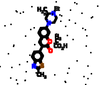 CC(=O)O.CCN1CCN(c2ccc3cc(-c4ccc5nc(C)sc5c4)c(=O)oc3c2)C[C@@H]1C